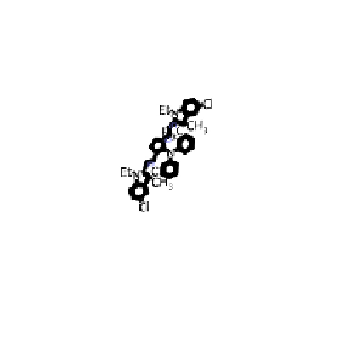 CCN1/C(=C/C=C2\CCC(/C=C/C3=[N+](CC)c4ccc(Cl)cc4C3(C)C)=C2N(c2ccccc2)c2ccccc2)C(C)(C)c2cc(Cl)ccc21